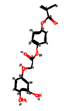 C=C(C)C(=O)Oc1ccc(OC(=O)COc2ccc(O)c(O)c2)cc1